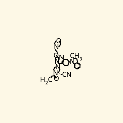 C=CC(=O)N1CCN(c2nc(OCCN3CCOCC3)nc3c2CC[C@@H](N2c4ccccc4CC2C)C3)C[C@@H]1CC#N